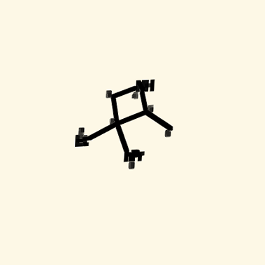 CCCC1(CC)CNC1C